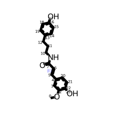 COc1cc(/C=C/C(=O)NCCCc2ccc(O)cc2)ccc1O